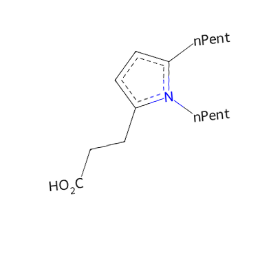 CCCCCc1ccc(CCC(=O)O)n1CCCCC